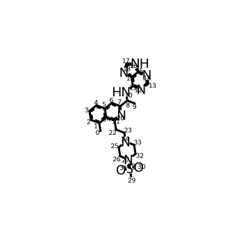 Cc1cccc2cc(C(C)Nc3ncnc4[nH]cnc34)nc(CCN3CCN(S(C)(=O)=O)CC3)c12